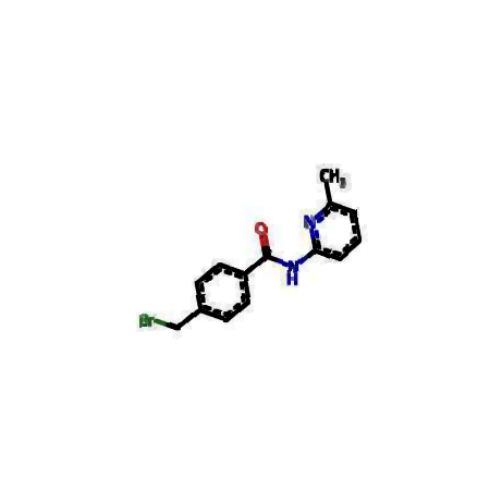 Cc1cccc(NC(=O)c2ccc(CBr)cc2)n1